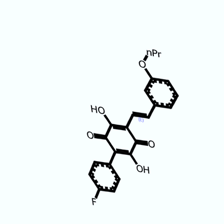 CCCOc1cccc(/C=C/C2=C(O)C(=O)C(c3ccc(F)cc3)=C(O)C2=O)c1